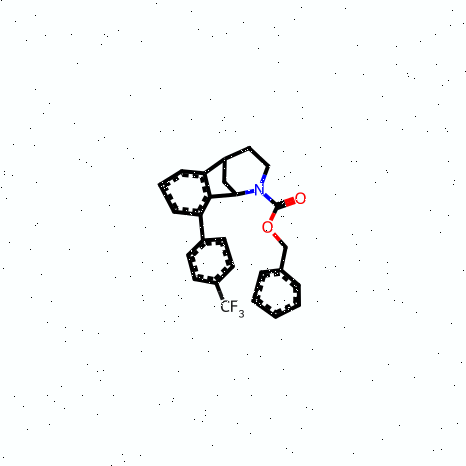 O=C(OCc1ccccc1)N1CCC2CC1c1c(-c3ccc(C(F)(F)F)cc3)cccc12